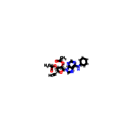 C#C[C@H]1O[C@@H](n2cnc3c(NC4CCCCC4)ncnc32)[C@H](OC(C)=O)[C@@H]1OC(C)=O